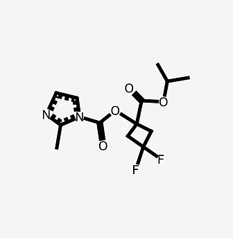 Cc1nccn1C(=O)OC1(C(=O)OC(C)C)CC(F)(F)C1